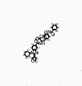 O=C(Nc1ccc(CC(NC(=O)c2ccc3c(c2)nc(-c2ccoc2)n3C2CCCCC2)C(=O)O)cc1)c1ccccc1